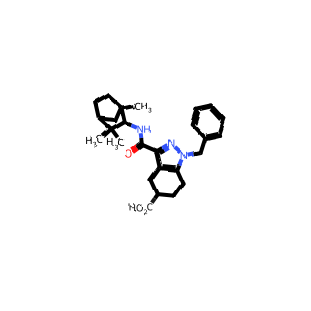 CC12CCC(C1)C(C)(C)C2NC(=O)c1nn(Cc2ccccc2)c2c1CC(C(=O)O)CC2